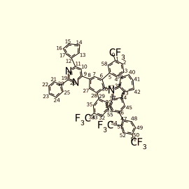 FC(F)(F)c1cccc(-c2cc(-c3cc(-c4ccccc4)nc(-c4ccccc4)n3)cc(-c3cccc(C(F)(F)F)c3)c2-n2c3ccccc3c3cc(-c4ccc(C(F)(F)F)cc4C(F)(F)F)ccc32)c1